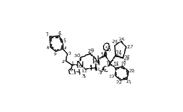 CC(CCc1ccccc1)N1CCN(C(=O)C(C)(c2ccccc2)C2CCCC2)CC1